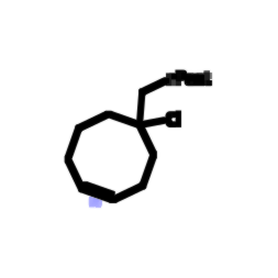 CCCCCCC1(Cl)CC/C=C\CCC1